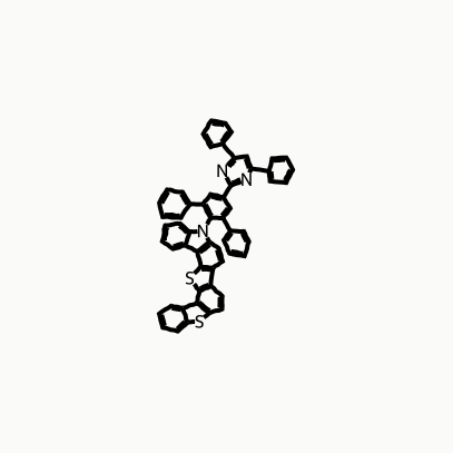 c1ccc(-c2cc(-c3ccccc3)nc(-c3cc(-c4ccccc4)c(-n4c5ccccc5c5c6sc7c(ccc8sc9ccccc9c87)c6ccc54)c(-c4ccccc4)c3)n2)cc1